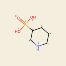 O=P(O)(O)C1CCCNC1